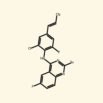 [2H]c1nc(Nc2c(F)cc(C=CC#N)cc2Cl)c2cc(F)ccc2n1